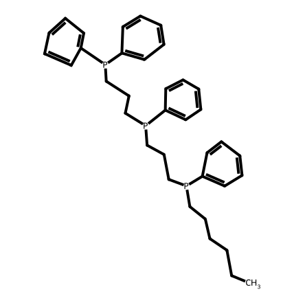 CCCCCCP(CCCP(CCCP(c1ccccc1)c1ccccc1)c1ccccc1)c1ccccc1